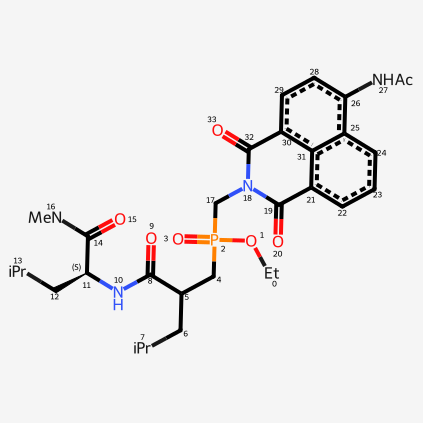 CCOP(=O)(CC(CC(C)C)C(=O)N[C@@H](CC(C)C)C(=O)NC)CN1C(=O)c2cccc3c(NC(C)=O)ccc(c23)C1=O